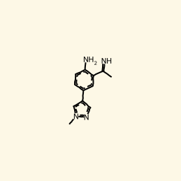 CC(=N)c1cc(-c2cnn(C)c2)ccc1N